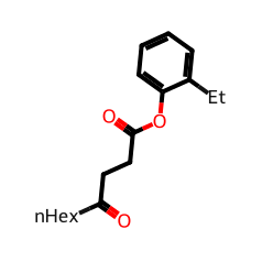 CCCCCCC(=O)CCC(=O)Oc1ccccc1CC